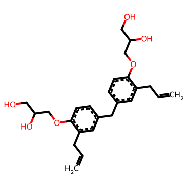 C=CCc1cc(Cc2ccc(OCC(O)CO)c(CC=C)c2)ccc1OCC(O)CO